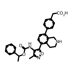 Cc1noc(-c2ccc(-c3ccc(CC(=O)O)cc3)c3c2CCNC3)c1NC(=O)OC(C)c1ccccc1